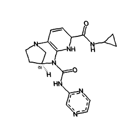 O=C(NC1CC1)C1C=CC2=C(N1)N(C(=O)Nc1cnccn1)[C@H]1CCN2C1